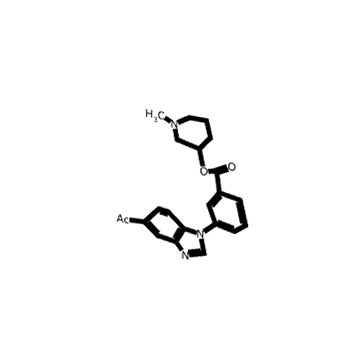 CC(=O)c1ccc2c(c1)ncn2-c1cccc(C(=O)OC2CCCN(C)C2)c1